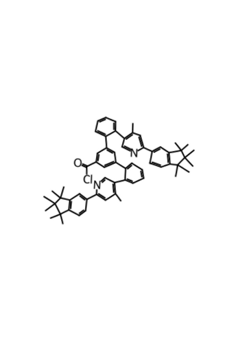 Cc1cc(-c2ccc3c(c2)C(C)(C)C(C)(C)C3(C)C)ncc1-c1ccccc1-c1cc(C(=O)Cl)cc(-c2ccccc2-c2cnc(-c3ccc4c(c3)C(C)(C)C(C)(C)C4(C)C)cc2C)c1